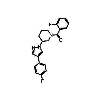 O=C(c1ccccc1F)N1CCCC(n2cc(-c3ccc(F)cc3)cn2)C1